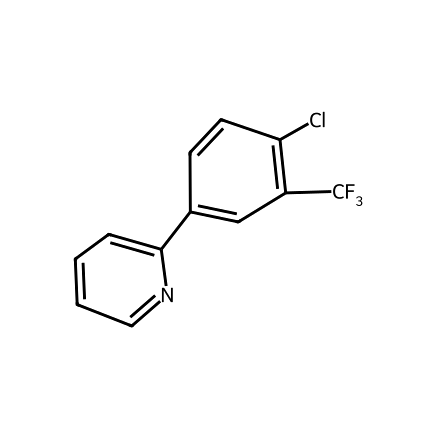 FC(F)(F)c1cc(-c2ccccn2)ccc1Cl